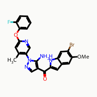 COc1cc2cc(C(=O)c3cnn(-c4cnc(Oc5ccccc5F)cc4C)c3N)[nH]c2cc1Br